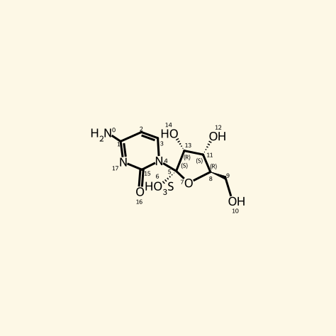 Nc1ccn([C@]2(S(=O)(=O)O)O[C@H](CO)[C@@H](O)[C@H]2O)c(=O)n1